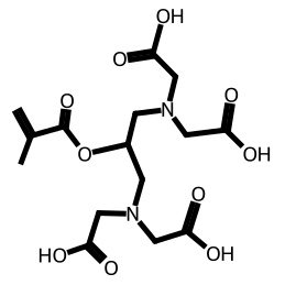 C=C(C)C(=O)OC(CN(CC(=O)O)CC(=O)O)CN(CC(=O)O)CC(=O)O